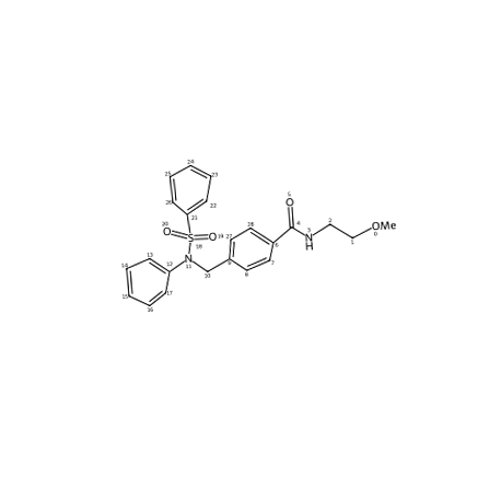 COCCNC(=O)c1ccc(CN(c2ccccc2)S(=O)(=O)c2ccccc2)cc1